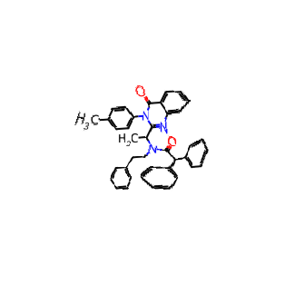 Cc1ccc(-n2c(C(C)N(CCc3ccccc3)C(=O)C(c3ccccc3)c3ccccc3)nc3ccccc3c2=O)cc1